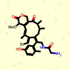 CC/C=C1C(\C)=C\C2=C(COC(=O)C2OC)C(=O)C(C)C(C)CC\1=C(/CNC(=O)CN)c1cc(O)ccc1C